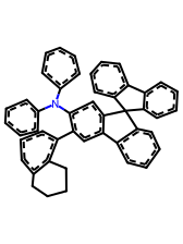 c1ccc(N(c2ccccc2)c2cc3c(cc2-c2cccc4c2CCCC4)-c2ccccc2C32c3ccccc3-c3ccccc32)cc1